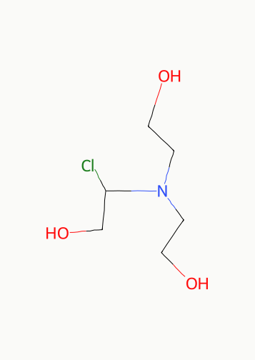 OCCN(CCO)C(Cl)CO